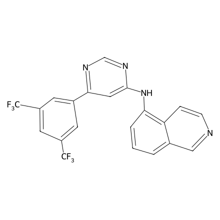 FC(F)(F)c1cc(-c2cc(Nc3cccc4cnccc34)ncn2)cc(C(F)(F)F)c1